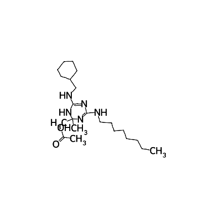 CC(=O)O.CCCCCCCCNC1=NC(C)(C)NC(NCC2CCCCC2)=N1